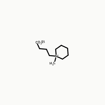 CCOC(=O)CCC[N+]1(C)CCCCC1